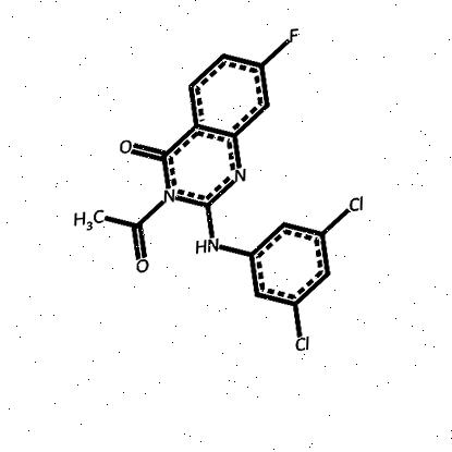 CC(=O)n1c(Nc2cc(Cl)cc(Cl)c2)nc2cc(F)ccc2c1=O